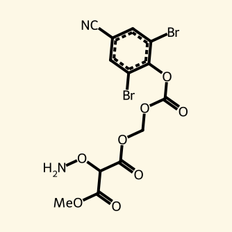 COC(=O)C(ON)C(=O)OCOC(=O)Oc1c(Br)cc(C#N)cc1Br